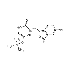 CC(C)(C)OC(=O)N[C@@H](Cc1c[nH]c2cc(Br)ccc12)C(=O)O